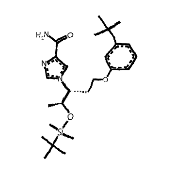 C[C@H](O[Si](C)(C)C(C)(C)C)[C@@H](CCOc1cccc(C(C)(C)C)c1)n1cnc(C(N)=O)c1